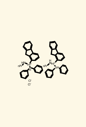 CCC[NH][Hf+]([c]1cccc2c1Cc1ccccc1-2)[SiH](c1ccccc1)c1ccccc1.CCC[NH][Hf+]([c]1cccc2c1Cc1ccccc1-2)[SiH](c1ccccc1)c1ccccc1.[Cl-].[Cl-]